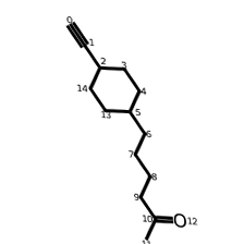 C#CC1CCC(CCCCC(C)=O)CC1